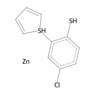 Sc1ccc(Cl)cc1[SH]1C=CC=C1.[Zn]